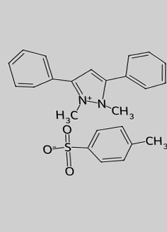 Cc1ccc(S(=O)(=O)[O-])cc1.Cn1c(-c2ccccc2)cc(-c2ccccc2)[n+]1C